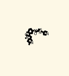 Cc1cc2c(cn1)cc(-c1cc(NC(=O)c3csc(-c4ccncc4)n3)ccc1C)c(=O)n2C